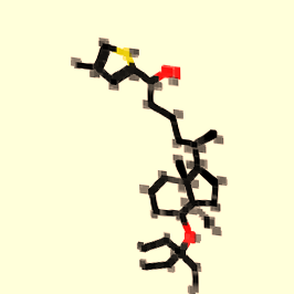 CC[Si](CC)(CC)OC1CCC[C@]2(C)[C@@H]([C@H](C)CCCC(O)c3cc(C)cs3)CC[C@@H]12